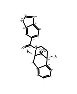 CC1(C)[C@H]2Cc3ccccc3[C@]1(C)CCN2C(=O)c1ccc2nc[nH]c2c1